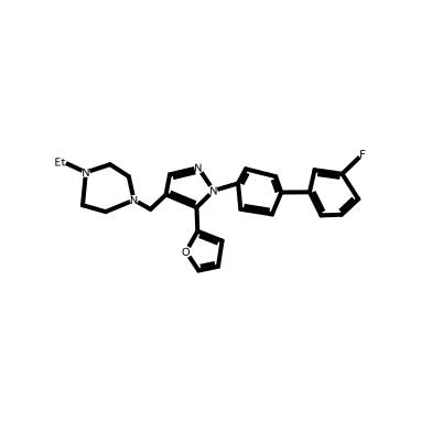 CCN1CCN(Cc2cnn(-c3ccc(-c4cccc(F)c4)cc3)c2-c2ccco2)CC1